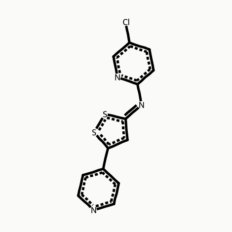 Clc1ccc(/N=c2/cc(-c3ccncc3)ss2)nc1